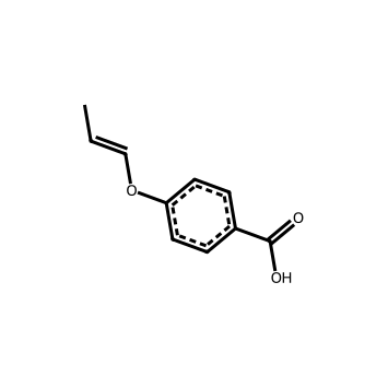 CC=COc1ccc(C(=O)O)cc1